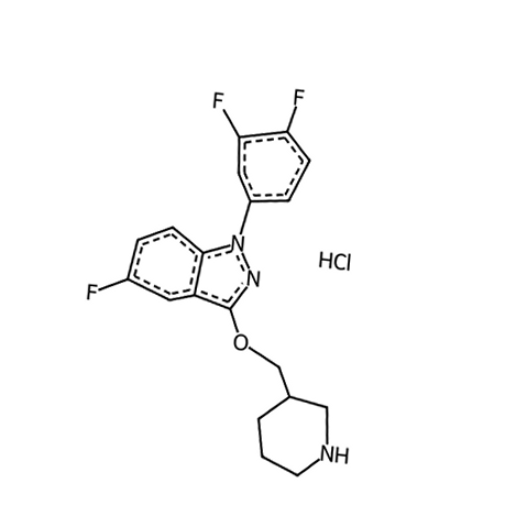 Cl.Fc1ccc2c(c1)c(OCC1CCCNC1)nn2-c1ccc(F)c(F)c1